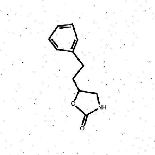 O=C1NCC(CCc2ccccc2)O1